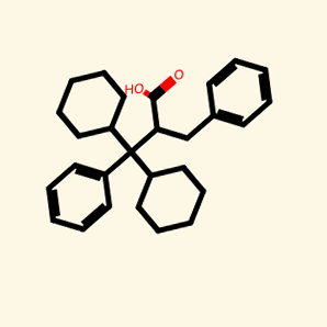 O=C(O)C(Cc1ccccc1)C(c1ccccc1)(C1CCCCC1)C1CCCCC1